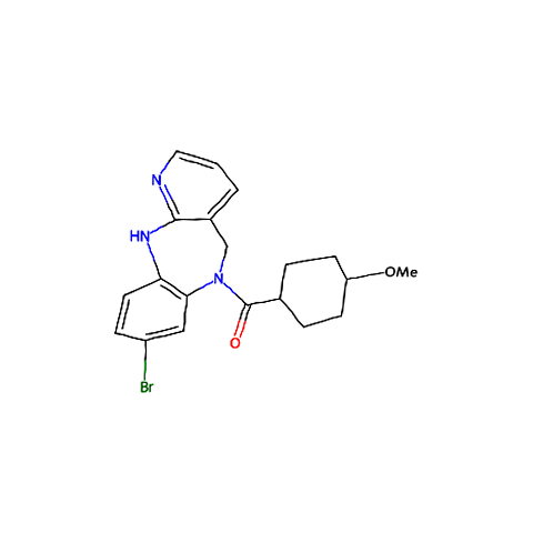 COC1CCC(C(=O)N2Cc3cccnc3Nc3ccc(Br)cc32)CC1